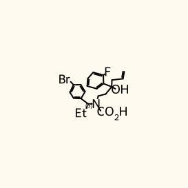 C=CCC(O)(CCN(C(=O)O)[C@@H](CC)c1ccc(Br)cc1)c1ccccc1F